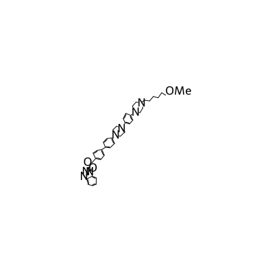 COCCCCCCN1CCN(c2ccc(N3CCN(c4ccc(-c5ccc(C(=O)On6nnc7ccccc76)cc5)cc4)CC3)cc2)CC1